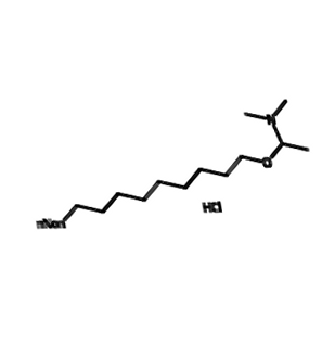 CCCCCCCCCCCCCCCCCCOC(C)N(C)C.Cl